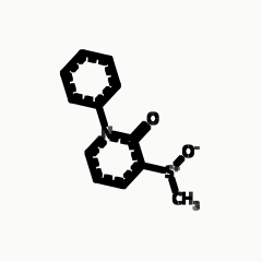 C[S+]([O-])c1cccn(-c2ccccc2)c1=O